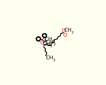 CCCCCC[C@H](C/C=C\CCCCCCCC(=O)OC)O[Si](c1ccccc1)(c1ccccc1)C(C)(C)C